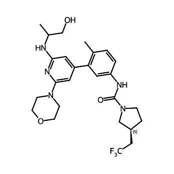 Cc1ccc(NC(=O)N2CC[C@@H](CC(F)(F)F)C2)cc1-c1cc(NC(C)CO)nc(N2CCOCC2)c1